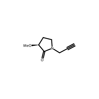 C#CCN1CC[C@H](OC)C1=O